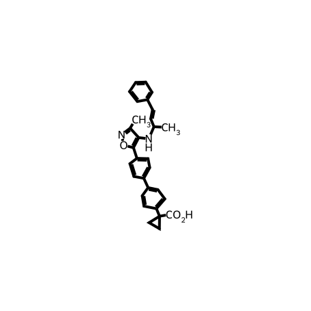 Cc1noc(-c2ccc(-c3ccc(C4(C(=O)O)CC4)cc3)cc2)c1NC(C)C=Cc1ccccc1